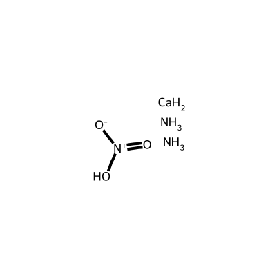 N.N.O=[N+]([O-])O.[CaH2]